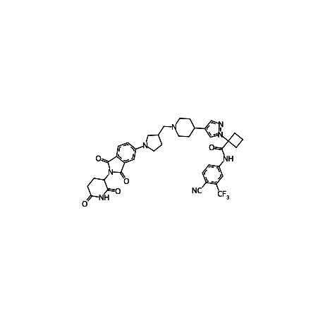 N#Cc1ccc(NC(=O)C2(n3cc(C4CCN(CC5CCN(c6ccc7c(c6)C(=O)N(C6CCC(=O)NC6=O)C7=O)C5)CC4)cn3)CCC2)cc1C(F)(F)F